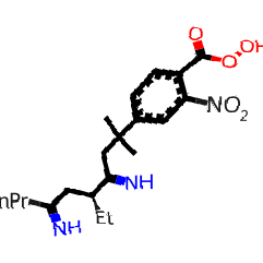 CCCC(=N)C[C@H](CC)C(=N)CC(C)(C)c1ccc(C(=O)OO)c([N+](=O)[O-])c1